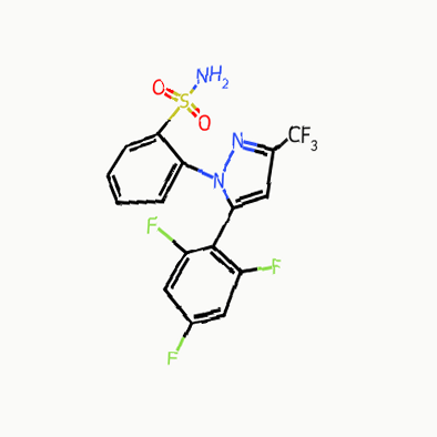 NS(=O)(=O)c1ccccc1-n1nc(C(F)(F)F)cc1-c1c(F)cc(F)cc1F